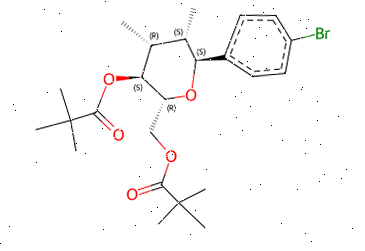 C[C@@H]1[C@H](C)[C@@H](c2ccc(Br)cc2)O[C@H](COC(=O)C(C)(C)C)[C@H]1OC(=O)C(C)(C)C